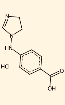 Cl.O=C(O)c1ccc(NN2C=NCC2)cc1